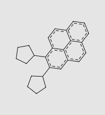 c1cc2ccc3cc(C4CCCC4)c(C4CCCC4)c4ccc(c1)c2c34